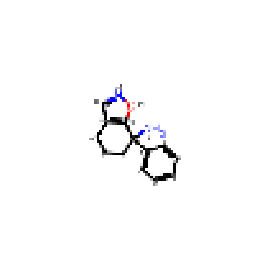 NC1(c2ccccc2)CCCc2cnoc21